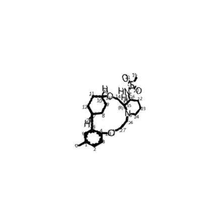 Cc1ccc2c(c1)[C@H]1CC[C@H](CC1)OC[C@H]1[C@@H](NS(C)(=O)=O)CCCN1CCO2